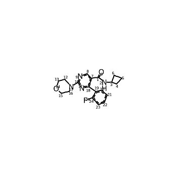 O=C(NC1CCC1)c1cnc(N2CCOCC2)nc1-c1ccccc1F